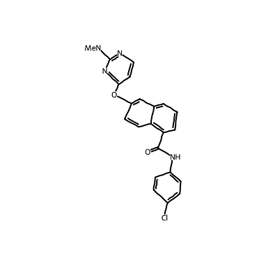 CNc1nccc(Oc2ccc3c(C(=O)Nc4ccc(Cl)cc4)cccc3c2)n1